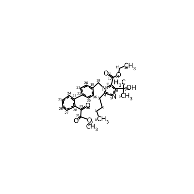 CCCCc1nc(C(C)(C)O)c(C(=O)OCC)n1Cc1ccc(-c2ccccc2C(=O)C(=O)OC)cc1